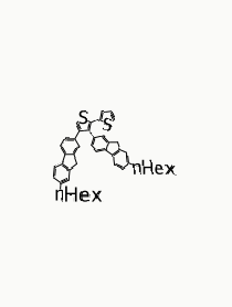 CCCCCCc1ccc2c(c1)Cc1cc(-c3csc(-c4cccs4)c3-c3ccc4c(c3)Cc3cc(CCCCCC)ccc3-4)ccc1-2